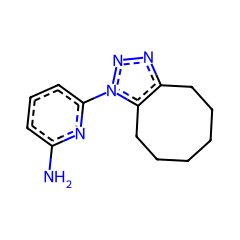 Nc1cccc(-n2nnc3c2CCCCCC3)n1